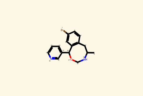 CC1Cc2ccc(Br)cc2C(c2cccnc2)OCN1